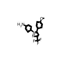 COc1ccc(-c2cc(C(F)(F)F)nn2-c2ccc(N)cc2)cc1